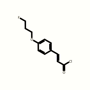 O=C(Cl)/C=C/c1ccc(OCCCF)cc1